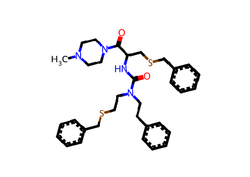 CN1CCN(C(=O)C(CSCc2ccccc2)NC(=O)N(CCSCc2ccccc2)CCc2ccccc2)CC1